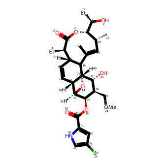 CC[C@@H](O)[C@H]1OC(=O)[C@H](CC)[C@H]2C=C[C@H]3[C@H]4O[C@]2(/C(C)=C/[C@H]1C)[C@@H]3[C@H](O)[C@@H](COC)[C@H]4OC(=O)c1cc(Br)c[nH]1